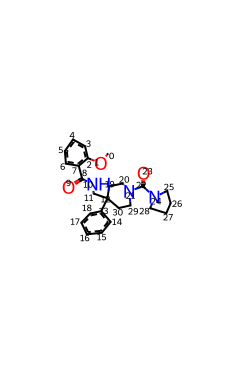 COc1ccccc1C(=O)NCC1(c2ccccc2)CCN(C(=O)N2CCCC2)CC1